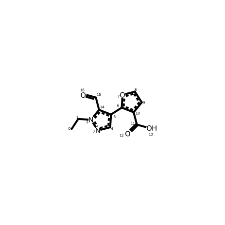 CCn1ncc(-c2occc2C(=O)O)c1C=O